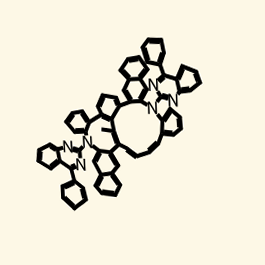 Cc1c2ccccc3ccccc3n(-c3nc(-c4ccccc4)c4ccccc4n3)c3cc4ccccc4cc3c3cccc(c4ccccc4n(-c4nc(-c5ccccc5)c5ccccc5n4)c4cc5ccccc5cc24)c13